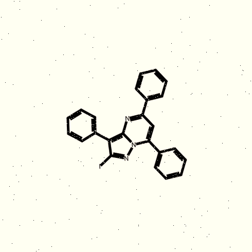 Ic1nn2c(-c3ccccc3)cc(-c3ccccc3)nc2c1-c1ccccc1